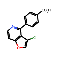 O=C(O)c1ccc(-c2nccc3occ(Cl)c23)cc1